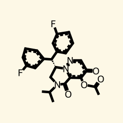 CC(=O)Oc1c2n(ncc1=O)[C@@H](C(c1cccc(F)c1)c1cccc(F)c1)CN(C(C)C)C2=O